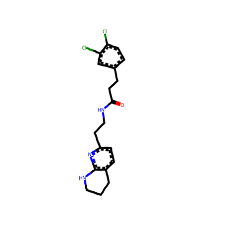 O=C(CCc1ccc(Cl)c(Cl)c1)NCCc1ccc2c(n1)NCCC2